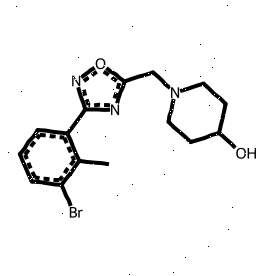 Cc1c(Br)cccc1-c1noc(CN2CCC(O)CC2)n1